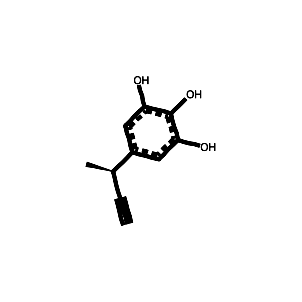 C#C[C@@H](C)c1cc(O)c(O)c(O)c1